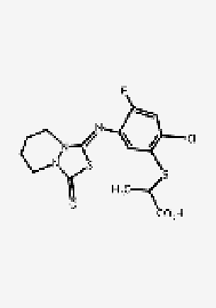 CC(Sc1cc(N=c2sc(=O)n3n2CCCC3)c(F)cc1Cl)C(=O)O